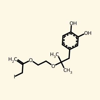 C=C(CI)OCCOC(C)(C)Cc1ccc(O)c(O)c1